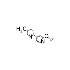 CC1CCC(c2ccnc(OC3CC3)c2)=NC1